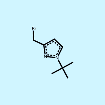 CC(C)(C)n1ccc(CBr)n1